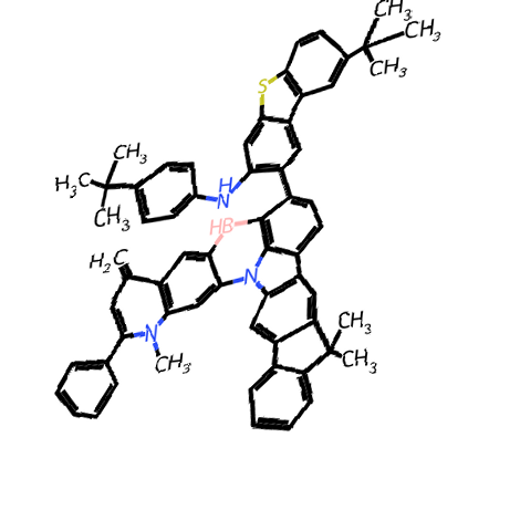 C=C1C=C(c2ccccc2)N(C)c2cc3c(cc21)Bc1c(-c2cc4c(cc2Nc2ccc(C(C)(C)C)cc2)sc2ccc(C(C)(C)C)cc24)ccc2c4cc5c(cc4n-3c12)-c1ccccc1C5(C)C